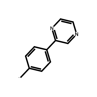 [CH2]c1ccc(-c2cnccn2)cc1